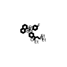 CCc1oc2ccc(N(c3ccc(F)cc3)S(=O)(=O)c3cccc4ccccc34)cc2c1CCN(CC)CC